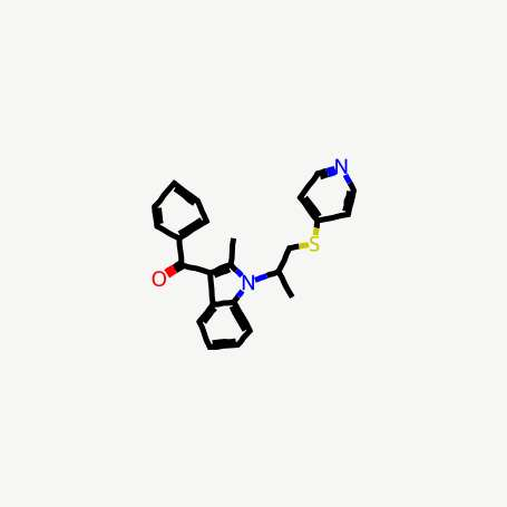 Cc1c(C(=O)c2ccccc2)c2ccccc2n1C(C)CSc1ccncc1